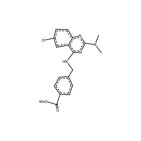 COC(=O)c1ccc(CNc2nc(N(C)C)nc3ccc(Cl)cc23)cc1